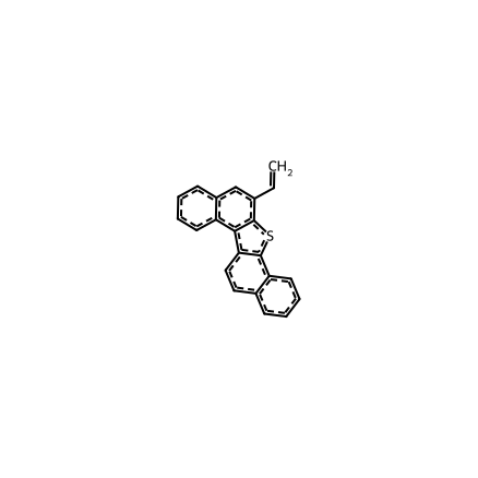 C=Cc1cc2ccccc2c2c1sc1c3ccccc3ccc12